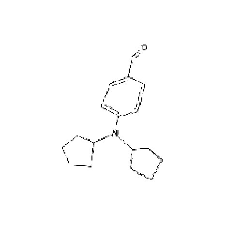 O=Cc1ccc(N(C2CCCC2)C2CCCC2)cc1